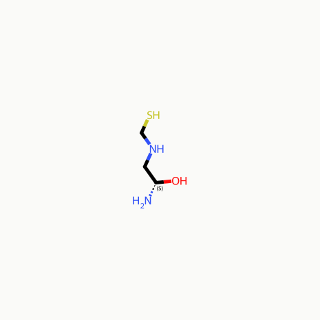 N[C@@H](O)CNCS